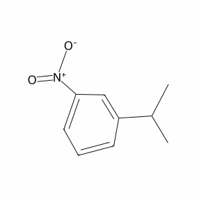 CC(C)c1cccc([N+](=O)[O-])c1